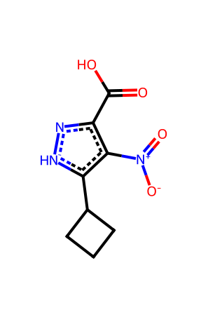 O=C(O)c1n[nH]c(C2CCC2)c1[N+](=O)[O-]